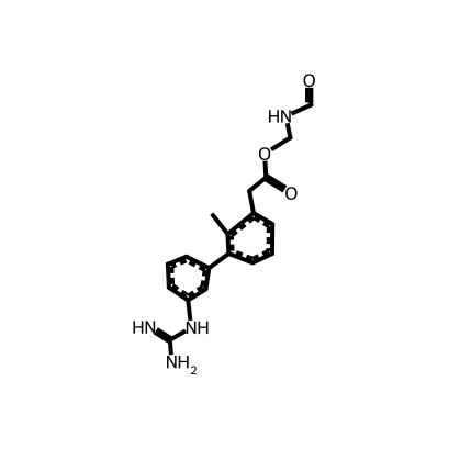 Cc1c(CC(=O)OCNC=O)cccc1-c1cccc(NC(=N)N)c1